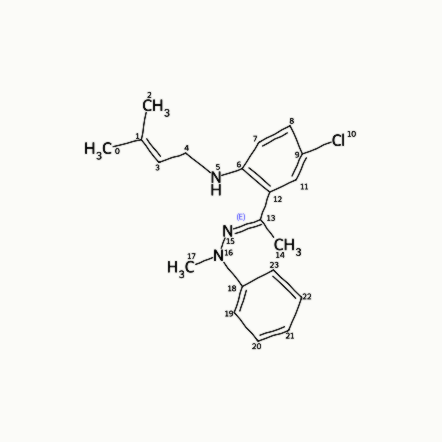 CC(C)=CCNc1ccc(Cl)cc1/C(C)=N/N(C)c1ccccc1